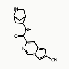 N#Cc1cc2cc(C(=O)NC3CC4CC3CN4)ncn2c1